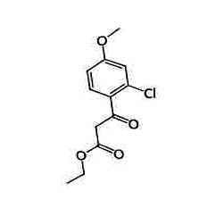 CCOC(=O)CC(=O)c1ccc(OC)cc1Cl